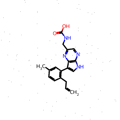 C=CCc1ccc(C)cc1-c1c[nH]c2ncc(CNC(=O)O)nc12